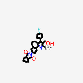 CC(C)c1nc2c(c(-c3ccc(F)cc3)c1CO)CCCc1cc(N3C(=O)c4ccccc4C3=O)ccc1-2